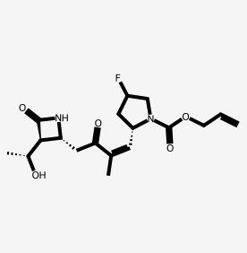 C=CCOC(=O)N1CC(F)C[C@H]1C=C(C)C(=O)C[C@H]1NC(=O)[C@@H]1[C@@H](C)O